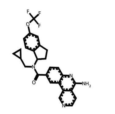 Nc1nc2ccc(C(=O)N(CC3CC3)C3CCc4cc(OC(F)(F)F)ccc43)cc2c2cnccc12